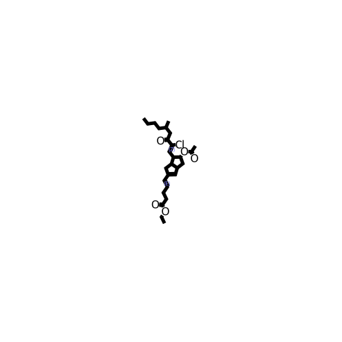 CCCCC(C)CC(=O)/C(Cl)=C/C1C(OC(C)=O)CC2C=C(/C=C/CCC(=O)OCC)CC21